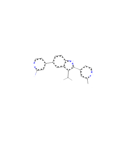 Cc1cc(-c2[nH]c3ccc(-c4ccnc(N)c4)cc3c2C(C)C)ccn1